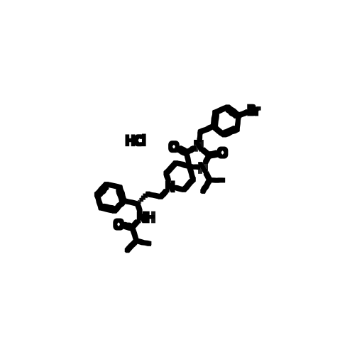 CC(C)C(=O)N[C@@H](CCN1CCC2(CC1)C(=O)N(Cc1ccc(Br)cc1)C(=O)N2C(C)C)c1ccccc1.Cl